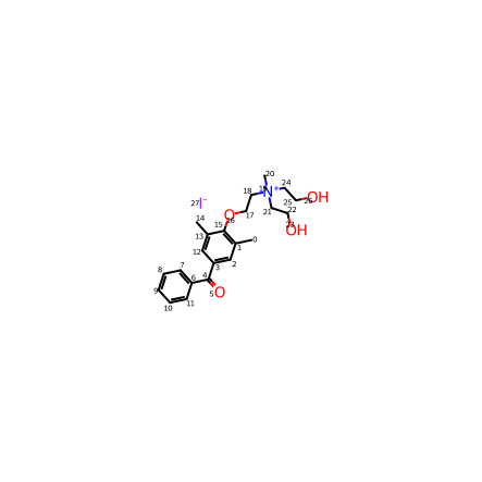 Cc1cc(C(=O)c2ccccc2)cc(C)c1OCC[N+](C)(CCO)CCO.[I-]